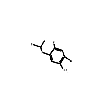 Nc1cc(OC(F)F)c(F)cc1Br